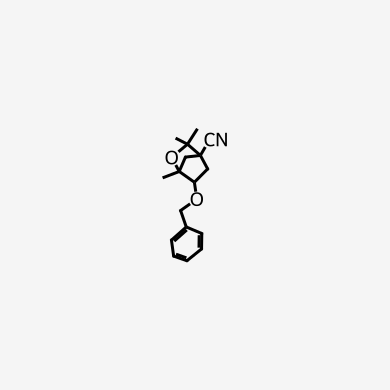 CC12CC(C#N)(CC1OCc1ccccc1)C(C)(C)O2